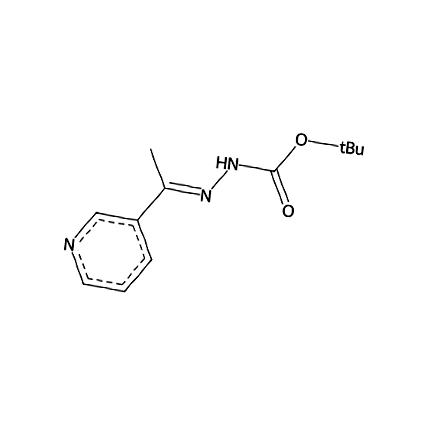 C/C(=N\NC(=O)OC(C)(C)C)c1cccnc1